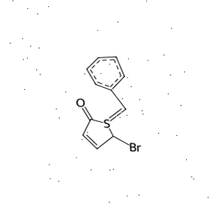 O=C1C=CC(Br)S1=Cc1ccccc1